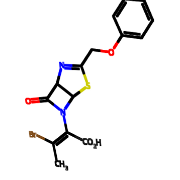 C/C(Br)=C(\C(=O)O)N1C(=O)C2N=C(COc3ccccc3)SC21